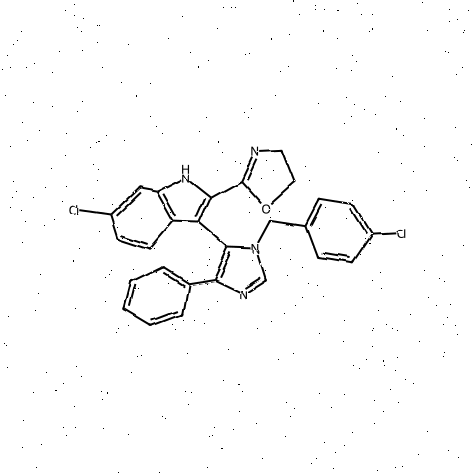 Clc1ccc(Cn2cnc(-c3ccccc3)c2-c2c(C3=NCCO3)[nH]c3cc(Cl)ccc23)cc1